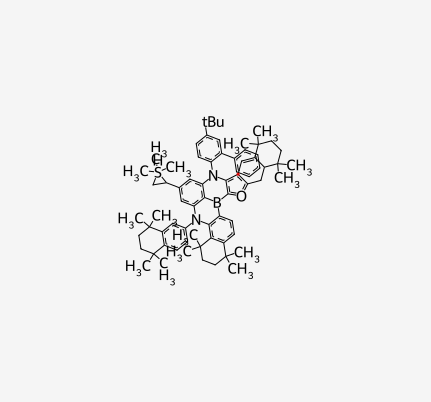 CC1(C)CCC(C)(C)C2Cc3oc4c(c3C=C21)N(c1ccc(C(C)(C)C)cc1-c1ccccc1)c1cc(C2C[SH]2(C)(C)C)cc2c1B4c1ccc3c(c1N2c1ccc2c(c1)C(C)(C)CCC2(C)C)C(C)(C)CCC3(C)C